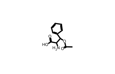 CC(=O)OC(c1ccccc1)C(N)C(=O)O